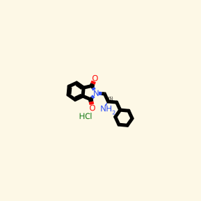 Cl.N[C@@H](CC1CCCCC1)CN1C(=O)c2ccccc2C1=O